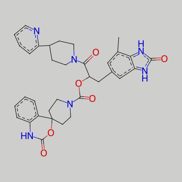 Cc1cc(CC(OC(=O)N2CCC3(CC2)OC(=O)Nc2ccccc23)C(=O)N2CCC(c3ccccn3)CC2)cc2[nH]c(=O)[nH]c12